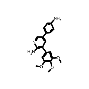 COc1cc(-c2cc(-c3ccc(N)cc3)cnc2N)cc(OC)c1OC